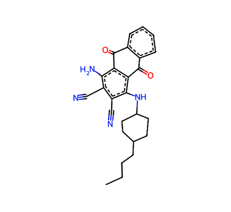 CCCCC1CCC(Nc2c(C#N)c(C#N)c(N)c3c2C(=O)c2ccccc2C3=O)CC1